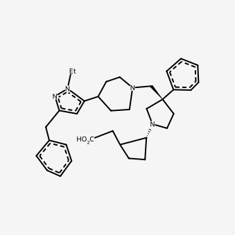 CCn1nc(Cc2ccccc2)cc1C1CCN(C[C@@]2(c3ccccc3)CCN([C@@H]3CCC3CC(=O)O)C2)CC1